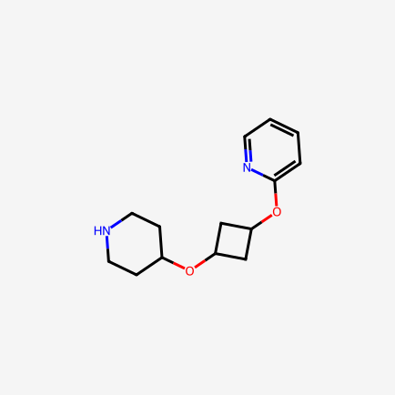 c1ccc(OC2CC(OC3CCNCC3)C2)nc1